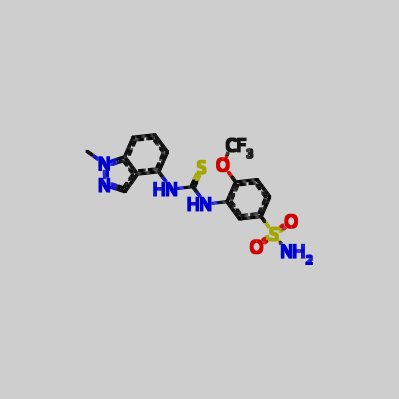 Cn1ncc2c(NC(=S)Nc3cc(S(N)(=O)=O)ccc3OC(F)(F)F)cccc21